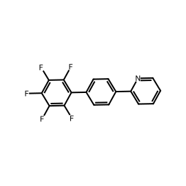 Fc1c(F)c(F)c(-c2ccc(-c3ccccn3)cc2)c(F)c1F